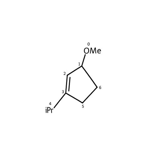 COC1C=C(C(C)C)CC1